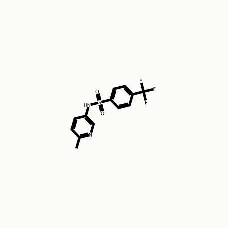 Cc1ccc(NS(=O)(=O)c2ccc(C(F)(F)F)cc2)cn1